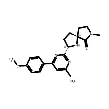 Cc1cc(-c2ccc(OC(F)(F)F)cc2)nc([C@@H]2CC[C@]3(CCN(C)C3=O)N2)n1.Cl